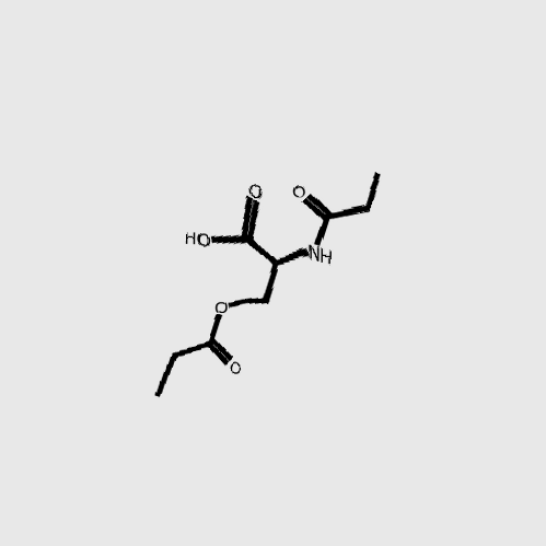 CCC(=O)NC(COC(=O)CC)C(=O)O